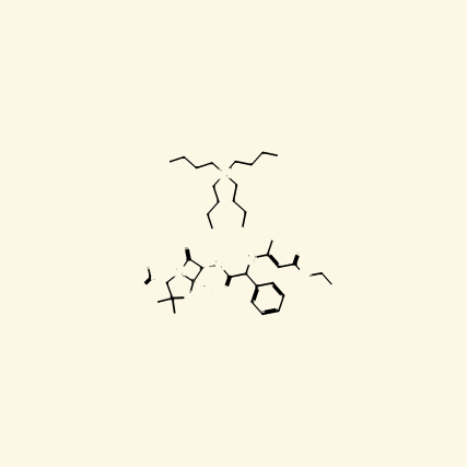 CCCC[N+](CCCC)(CCCC)CCCC.CCOC(=O)C=C(C)NC(C(=O)N[C@@H]1C(=O)N2[C@@H]1SC(C)(C)[C@@H]2C(=O)[O-])c1ccccc1